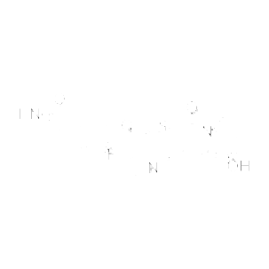 CNC(=O)Cc1ccc(Oc2ccnc3cc(C(=O)N4CC[C@@H](O)C4)sc23)c(F)c1